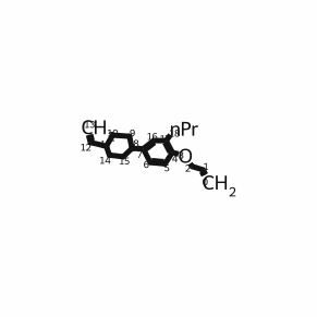 C=CCOc1ccc(C2CCC(C=C)CC2)cc1CCC